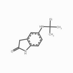 CCC(C)(C)Nc1ccc2c(c1)CC(=O)N2